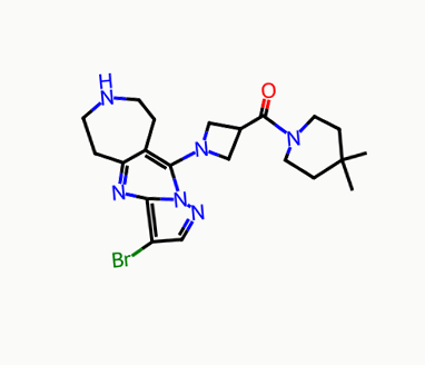 CC1(C)CCN(C(=O)C2CN(c3c4c(nc5c(Br)cnn35)CCNCC4)C2)CC1